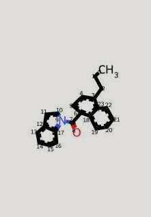 CCCc1ccc(C(=O)n2ccc3ccccc32)c2ccccc12